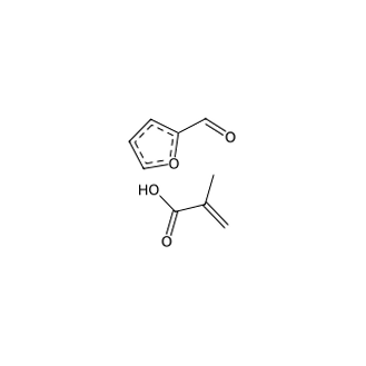 C=C(C)C(=O)O.O=Cc1ccco1